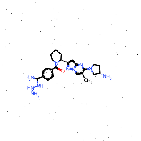 Cc1cn2nc([C@@H]3CCCCN3C(=O)c3ccc(C(N)NNN)cc3)cc2nc1N1CC[C@H](N)C1